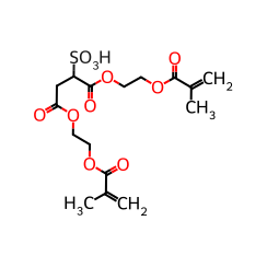 C=C(C)C(=O)OCCOC(=O)CC(C(=O)OCCOC(=O)C(=C)C)S(=O)(=O)O